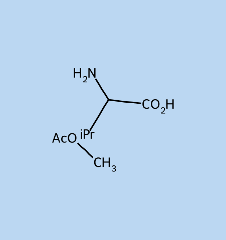 CC(C)C(N)C(=O)O.COC(C)=O